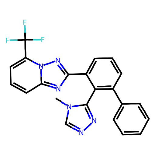 Cn1cnnc1-c1c(-c2ccccc2)cccc1-c1nc2cccc(C(F)(F)F)n2n1